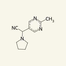 Cc1ncc(C(C#N)N2CCCC2)cn1